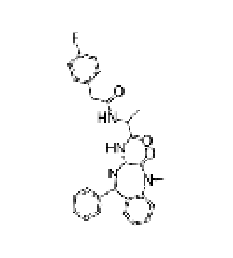 CC(NC(=O)Cc1ccc(F)cc1)C(=O)N[C@H]1N=C(c2ccccc2)c2ccccc2N(C)C1=O